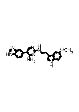 COc1ccc2[nH]cc(CCNc3ncc(-c4ccc5[nH]cnc5c4)c(N)n3)c2c1